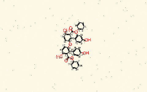 O=C(Oc1ccccc1)c1c(O)ccc(Oc2ccc(O)c(C(=O)Oc3ccccc3)c2-c2ccc(O)cc2)c1-c1ccc(O)cc1